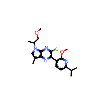 COCC(C)n1cc(C)c2nc(-c3ccc(C(C)C)nc3OC)c(Cl)nc21